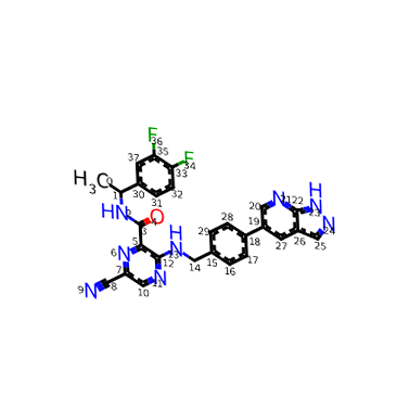 CC(NC(=O)c1nc(C#N)cnc1NCc1ccc(-c2cnc3[nH]ncc3c2)cc1)c1ccc(F)c(F)c1